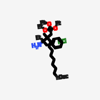 CCCCCCCCCCCCCCCCCCC(C)(C[Si](OCC)(OCC)OCC)C(N)(CC)Cc1ccccc1.Cl